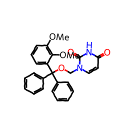 COc1cccc(C(OCn2ccc(=O)[nH]c2=O)(c2ccccc2)c2ccccc2)c1OC